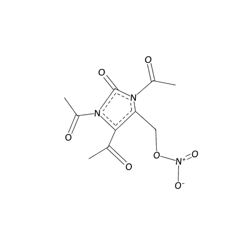 CC(=O)c1c(CO[N+](=O)[O-])n(C(C)=O)c(=O)n1C(C)=O